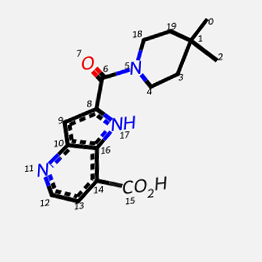 CC1(C)CCN(C(=O)c2cc3nccc(C(=O)O)c3[nH]2)CC1